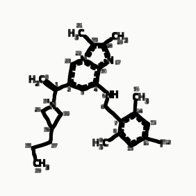 C=C(c1cc(NCc2c(C)cc(F)cc2C)c2nc(C)c(C)n2c1)N1CC(CCC)C1